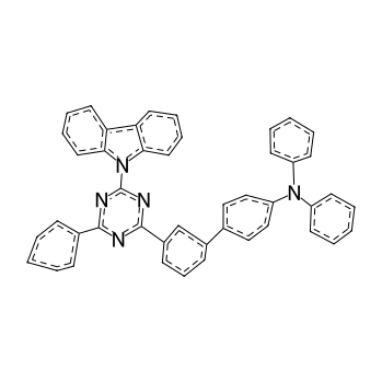 c1ccc(-c2nc(-c3cccc(-c4ccc(N(c5ccccc5)c5ccccc5)cc4)c3)nc(-n3c4ccccc4c4ccccc43)n2)cc1